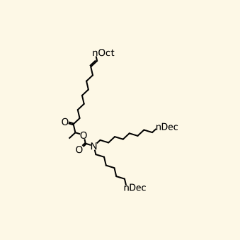 CCCCCCCCC=CCCCCCCCC(=O)C(C)OC(=O)N(CCCCCCCCCCCCCCCC)CCCCCCCCCCCCCCCCCC